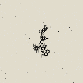 C#Cc1c(F)ccc2cccc(-c3ncc4c(N5C[C@H]6CC[C@@H](C5)N6)nc(OC[C@@]56CC[C@@H](COC(=O)N7CC(F)(F)C7)N5CC(=C)C6)nc4c3F)c12